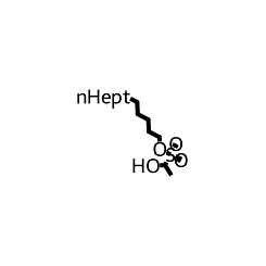 CCCCCCCCCCCCOS(=O)(=O)C(C)O